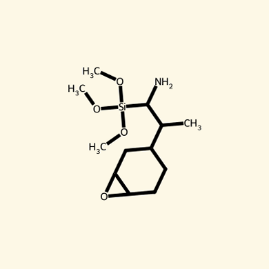 CO[Si](OC)(OC)C(N)C(C)C1CCC2OC2C1